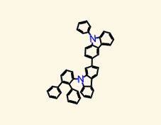 c1ccc(-c2cccc(-n3c4ccccc4c4ccc(-c5ccc6c(c5)c5ccccc5n6-c5ccccc5)cc43)c2-c2ccccc2)cc1